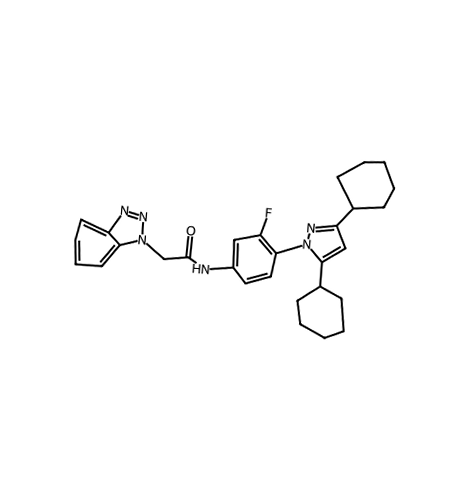 O=C(Cn1nnc2ccccc21)Nc1ccc(-n2nc(C3CCCCC3)cc2C2CCCCC2)c(F)c1